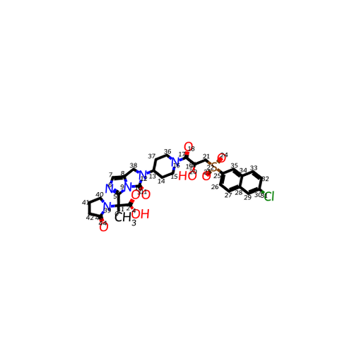 CC(C(=O)O)(c1ncc2n1C(=O)N(C1CCN(C(=O)[C@H](O)CS(=O)(=O)c3ccc4cc(Cl)ccc4c3)CC1)C2)N1CCCC1=O